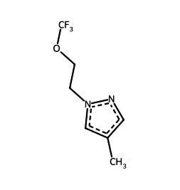 Cc1cnn(CCOC(F)(F)F)c1